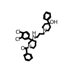 O=C(c1ccccc1)N1CCCC(NCCCN2CCC(O)(c3ccccc3)CC2)(c2ccc(Cl)c(Cl)c2)C1